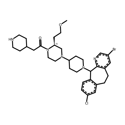 COCC[C@H]1CN(C2CCN(C3c4ccc(Cl)cc4CCc4cc(Br)cnc43)CC2)CCN1C(=O)CC1CCNCC1